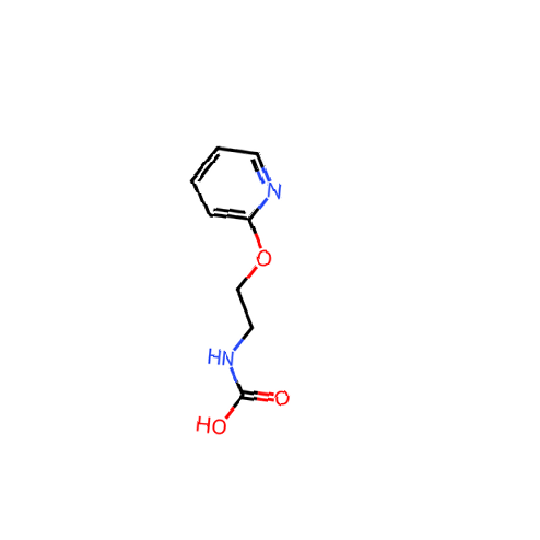 O=C(O)NCCOc1ccccn1